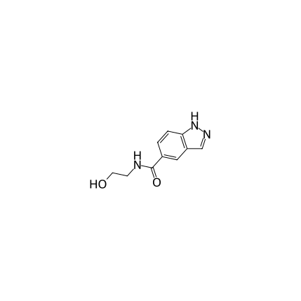 O=C(NCCO)c1ccc2[nH]ncc2c1